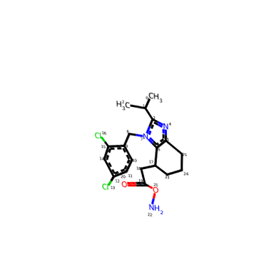 CC(C)c1nc2c(n1Cc1ccc(Cl)cc1Cl)C(CC(=O)ON)CCC2